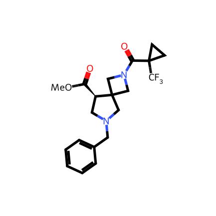 COC(=O)[C@@H]1CN(Cc2ccccc2)CC12CN(C(=O)C1(C(F)(F)F)CC1)C2